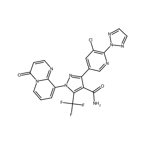 NC(=O)c1c(-c2cnc(-n3nccn3)c(Cl)c2)nn(-c2cccn3c(=O)ccnc23)c1C(F)(F)F